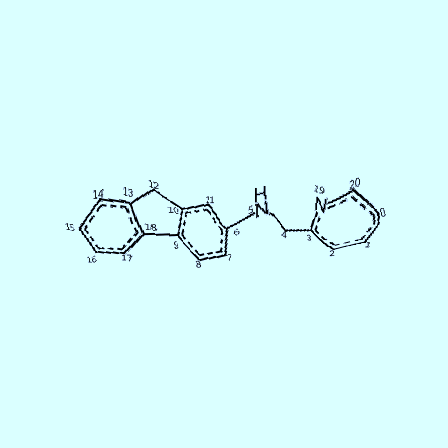 c1ccc(CNc2ccc3c(c2)Cc2ccccc2-3)nc1